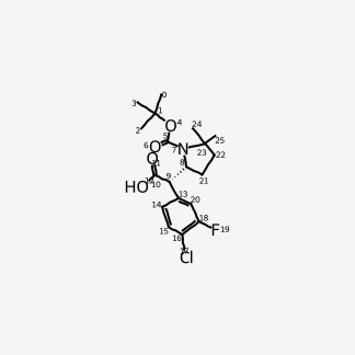 CC(C)(C)OC(=O)N1C([C@@H](C(=O)O)c2ccc(Cl)c(F)c2)CCC1(C)C